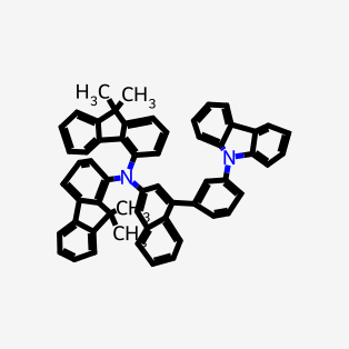 CC1(C)c2ccccc2-c2c(N(c3cc(-c4cccc(-n5c6ccccc6c6ccccc65)c4)c4ccccc4c3)c3cccc4c3C(C)(C)c3ccccc3-4)cccc21